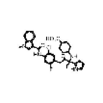 Cn1cc(C(=O)Nc2cc(F)c(CC(=O)C(F)(NC3CCC(C(=O)O)CC3)c3ccc[nH]3)cc2Cl)c2ccccc21